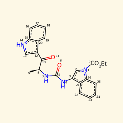 CCOC(=O)n1cc(NC(=O)N[C@@H](C)C(=O)c2c[nH]c3ccccc23)c2ccccc21